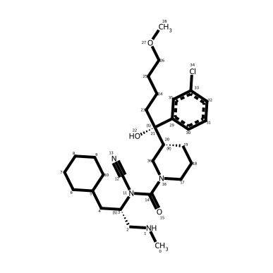 CNC[C@H](CC1CCCCC1)N(C#N)C(=O)N1CCC[C@@H]([C@@](O)(CCCCOC)c2cccc(Cl)c2)C1